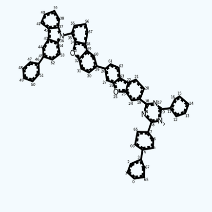 c1ccc(-c2ccc(-c3nc(-c4ccccc4)nc(-c4ccc5c(c4)oc4cc(-c6ccc7oc8c(-n9c%10ccccc%10c%10cc(-c%11ccccc%11)ccc%109)cccc8c7c6)ccc45)n3)cc2)cc1